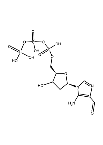 Nc1c(C=O)ncn1[C@H]1CC(O)[C@@H](COP(=O)(O)OP(=O)(O)OP(=O)(O)O)O1